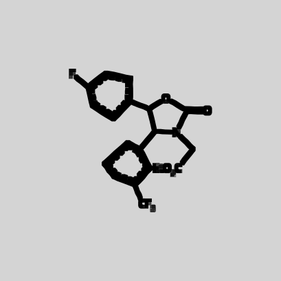 CCOC(=O)CN1C(=O)OC(c2ccc(F)cc2)C1c1cccc(C(F)(F)F)c1